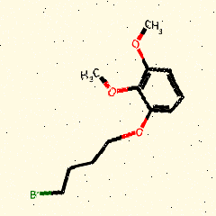 COc1cccc(OCCCCBr)c1OC